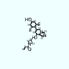 C=CC(=O)N1CC(COc2cc(-c3c(F)cc(O)cc3F)cn3cncc23)C1